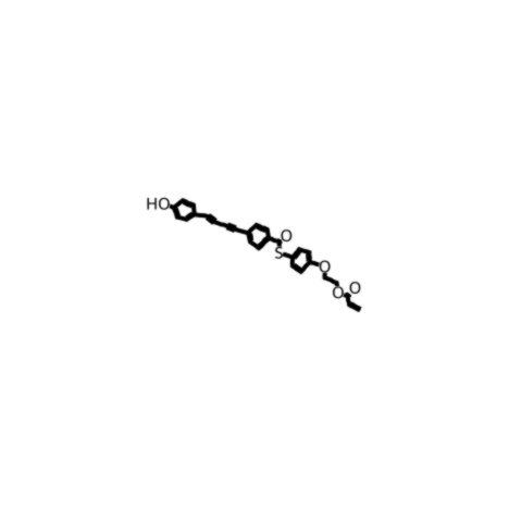 C=CC(=O)OCCOc1ccc(SC(=O)c2ccc(C#CC#Cc3ccc(O)cc3)cc2)cc1